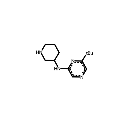 CC(C)(C)c1cncc(NC2CCCNC2)n1